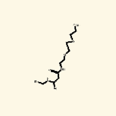 COCCOCCOCCNC(=O)CC(NCC(C)C)C(C)=O